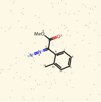 COC(=O)C(=[N+]=[N-])c1ccccc1C